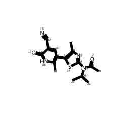 CC(=O)N(c1nc(C)c(-c2cc(C#N)c(=O)[nH]c2C)s1)C(C)C